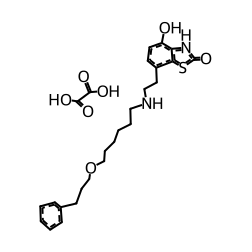 O=C(O)C(=O)O.O=c1[nH]c2c(O)ccc(CCNCCCCCCOCCCc3ccccc3)c2s1